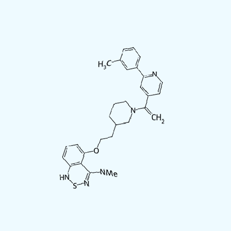 C=C(c1ccnc(-c2cccc(C)c2)c1)N1CCCC(CCOc2cccc3c2C(NC)=NSN3)C1